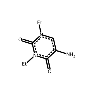 CCn1cc(N)c(=O)n(CC)c1=O